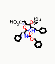 CC(C)(C)[Si](C)(C)O[C@H](/C=C/C(=O)O)[C@H](CCc1ccccc1)NC(=O)[C@H](Cc1ccccc1)NC(=O)OCc1ccccc1